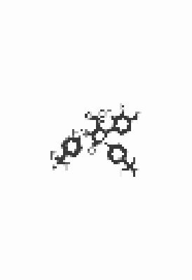 O=C(O)C1=C(Nc2ccc(C(F)(F)F)cc2)C(=O)N(c2ccc(C(F)(F)F)cc2)C1c1ccc(F)c(F)c1F